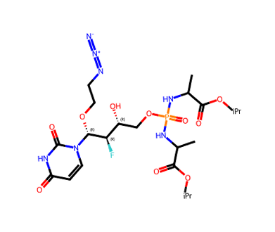 CC(C)OC(=O)C(C)NP(=O)(NC(C)C(=O)OC(C)C)OC[C@@H](O)[C@@H](F)[C@@H](OCCN=[N+]=[N-])n1ccc(=O)[nH]c1=O